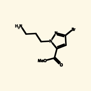 COC(=O)c1cc(Br)nn1CCCN